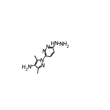 Cc1nn(-c2ccc(NN)nn2)c(C)c1N